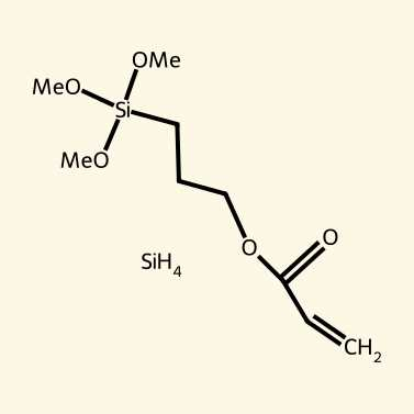 C=CC(=O)OCCC[Si](OC)(OC)OC.[SiH4]